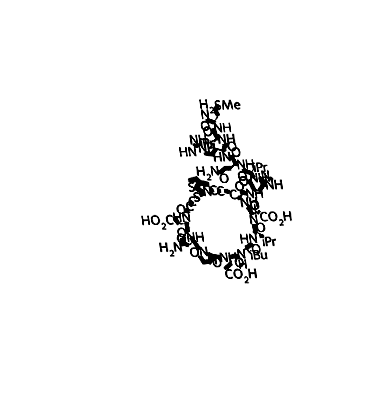 CC[C@H](C)[C@@H]1NC(=O)[C@H](CCC(=O)O)NC(=O)[C@@H]2CCCN2C(=O)[C@H](CC(N)=O)NC(=O)[C@H](CCC(=O)O)NC(=O)CCSc2c3sccc3cn2CCCC[C@@H](C(=O)N[C@@H](Cc2cnc[nH]2)C(=O)N[C@H](C(=O)N[C@@H](CCC(N)=O)C(=O)N[C@@H](CCCNC(=N)N)C(=O)N[C@H](C(=O)N[C@@H](CCSC)C(N)=O)C(C)C)C(C)C)NC(=O)[C@H](CC(=O)O)NC(=O)[C@H](CC(C)C)NC1=O